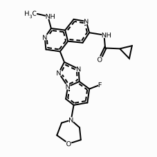 CNc1ncc(-c2nc3c(F)cc(N4CCOCC4)cn3n2)c2cc(NC(=O)C3CC3)ncc12